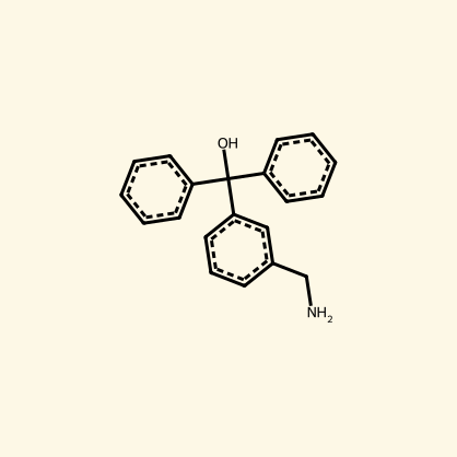 NCc1cccc(C(O)(c2ccccc2)c2ccccc2)c1